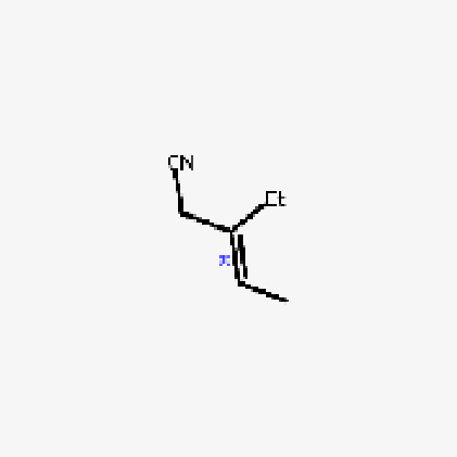 C/C=C(\CC)CC#N